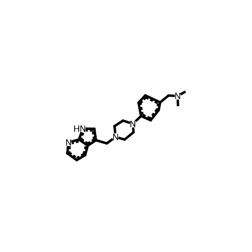 CN(C)Cc1ccc(N2CCN(Cc3c[nH]c4ncccc34)CC2)cc1